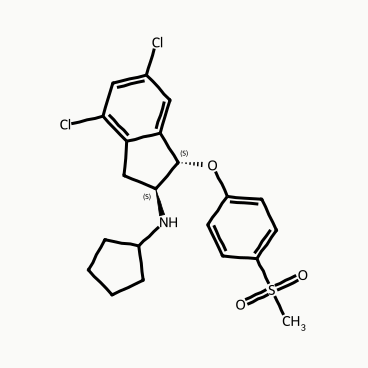 CS(=O)(=O)c1ccc(O[C@H]2c3cc(Cl)cc(Cl)c3C[C@@H]2NC2CCCC2)cc1